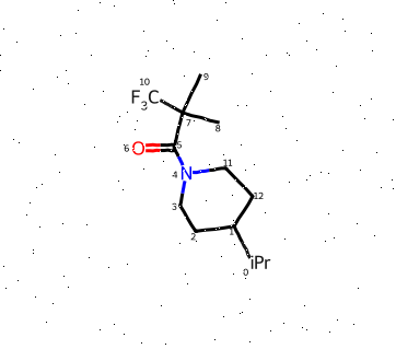 CC(C)C1CCN(C(=O)C(C)(C)C(F)(F)F)CC1